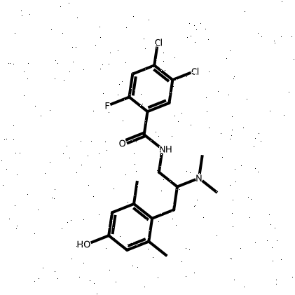 Cc1cc(O)cc(C)c1CC(CNC(=O)c1cc(Cl)c(Cl)cc1F)N(C)C